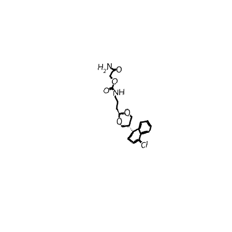 NC(=O)COC(=O)NCCC[C@H]1OC[C@H](c2ccc(Cl)c3ccccc32)CO1